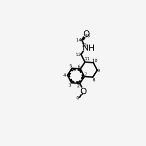 COc1cccc2c1CCCC2CNC=O